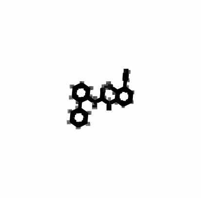 N#Cc1cccc(NC(=O)Nc2ccccc2-c2ccccc2)c1O